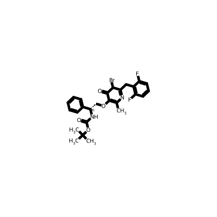 CC1=C(OC[C@H](NC(=O)OC(C)(C)C)c2ccccc2)C(=O)C(Br)C(Cc2c(F)cccc2F)=N1